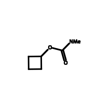 CNC(=O)OC1CCC1